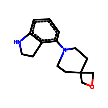 c1cc2c(c(N3CCC4(CC3)COC4)c1)CCN2